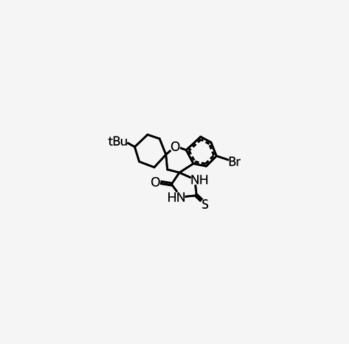 CC(C)(C)C1CCC2(CC1)CC1(NC(=S)NC1=O)c1cc(Br)ccc1O2